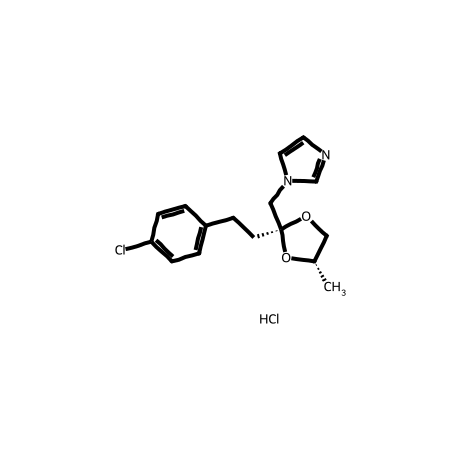 C[C@H]1CO[C@](CCc2ccc(Cl)cc2)(Cn2ccnc2)O1.Cl